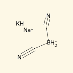 N#C[BH2-]C#N.[KH].[Na+]